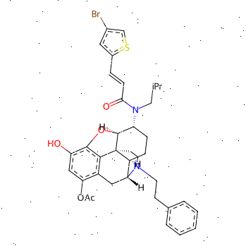 CC(=O)Oc1cc(O)c2c3c1C[C@@H]1[C@@H]4CC[C@@H](N(CC(C)C)C(=O)/C=C/c5cc(Br)cs5)[C@H](O2)[C@]34CCN1CCc1ccccc1